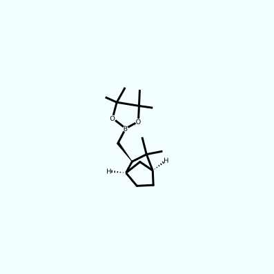 CC1(C)[C@H]2CC[C@H](C2)[C@H]1CB1OC(C)(C)C(C)(C)O1